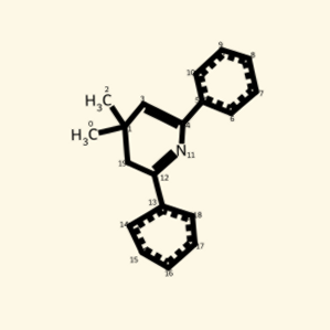 CC1(C)C=C(c2ccccc2)N=C(c2ccccc2)C1